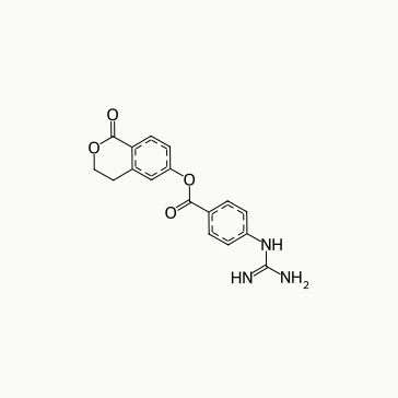 N=C(N)Nc1ccc(C(=O)Oc2ccc3c(c2)CCOC3=O)cc1